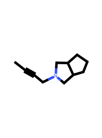 CC#CCN1CC2CCCC2C1